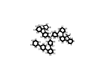 CC1(C)c2ccccc2-c2cccc(-c3ccccc3-c3ccc(N(c4ccc(-c5ccccc5-c5ccc(-c6ccccc6)cc5)cc4)c4ccc5c(c4)C4(CCCC4)c4ccccc4-5)cc3)c21